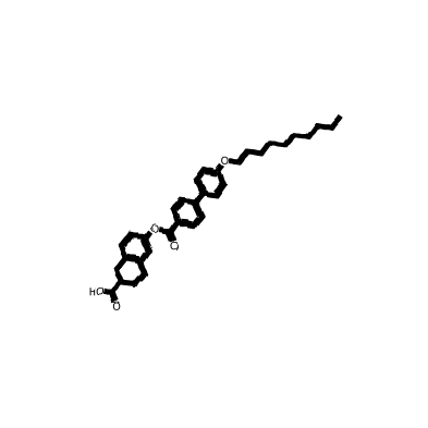 CCCCCCCCCCOc1ccc(-c2ccc(C(=O)Oc3ccc4c(c3)CCC(C(=O)O)C4)cc2)cc1